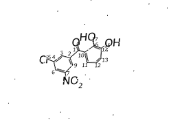 O=C(c1cc(Cl)cc([N+](=O)[O-])c1)c1cccc(O)c1O